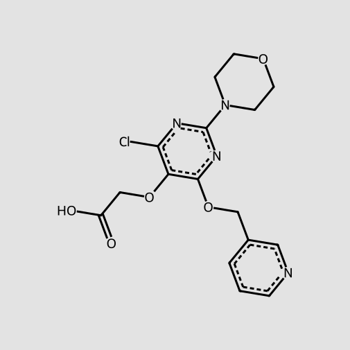 O=C(O)COc1c(Cl)nc(N2CCOCC2)nc1OCc1cccnc1